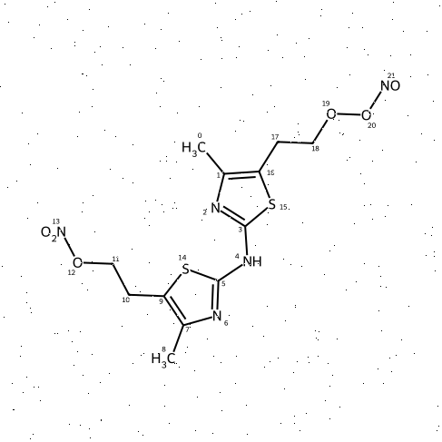 Cc1nc(Nc2nc(C)c(CCO[N+](=O)[O-])s2)sc1CCOON=O